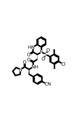 Cc1cc(S(=O)(=O)N2c3ccccc3NC(=O)[C@H]2CC(=O)N[C@@H](Cc2ccc(C#N)cc2)C(=O)N2CCCC2)c(C)cc1Cl